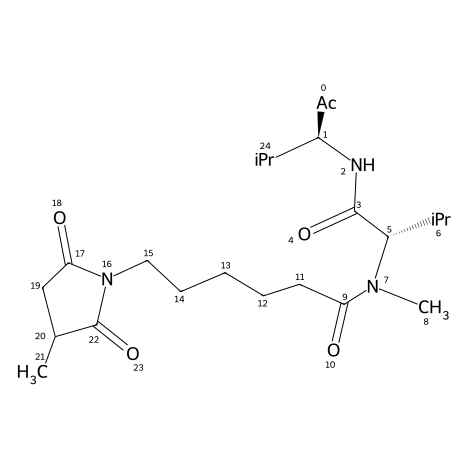 CC(=O)[C@@H](NC(=O)[C@H](C(C)C)N(C)C(=O)CCCCCN1C(=O)CC(C)C1=O)C(C)C